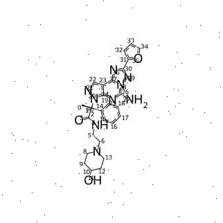 C[C@](C(=O)NCCN1CCC(O)CC1)(c1ccccc1)n1ncc2c1nc(N)n1nc(-c3ccco3)nc21